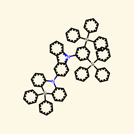 c1ccc([Si](c2ccccc2)(c2ccccc2)c2cc(-n3c4ccccc4c4cc(N5c6ccccc6[Si](c6ccccc6)(c6ccccc6)c6ccccc65)ccc43)cc([Si](c3ccccc3)(c3ccccc3)c3ccccc3)c2)cc1